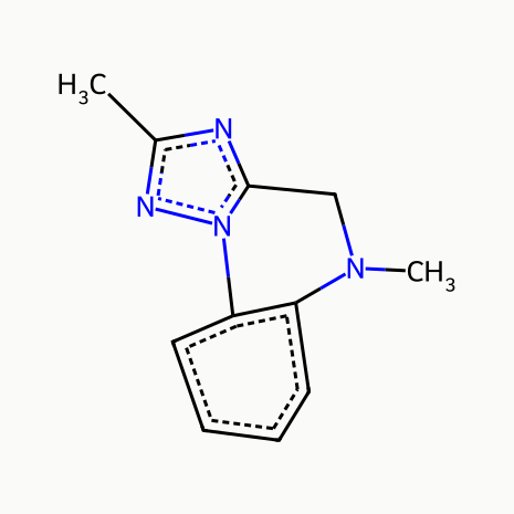 Cc1nc2n(n1)-c1ccccc1N(C)C2